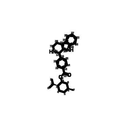 CC(C)[C@H]1CC[C@H](C)C[C@@H]1OC(=O)c1ccc(C2NCCc3c2[nH]c2ccccc32)cc1